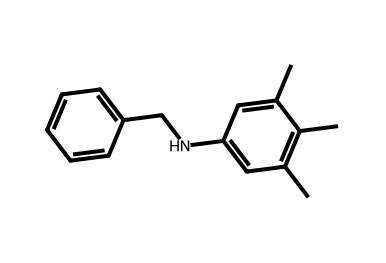 Cc1cc(NCc2ccccc2)cc(C)c1C